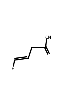 C=C(C#N)C/C=C/F